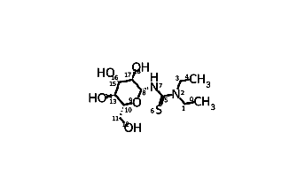 CCN(CC)C(=S)N[C@@H]1O[C@H](CO)[C@@H](O)[C@H](O)[C@H]1O